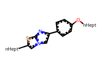 CCCCCCCOc1ccc(-c2cn3cc(CCCCCCC)sc3n2)cc1